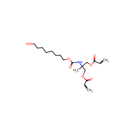 C=CC(=O)OCC(C)(COC(=O)C=C)NC(=O)OCCCCCCCCO